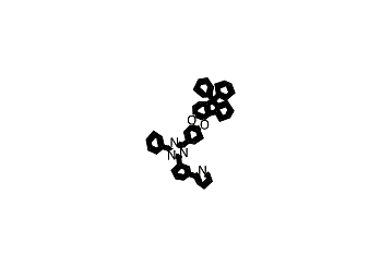 c1ccc(-c2nc(-c3cccc(-c4ccccn4)c3)nc(-c3ccc4c(c3)Oc3ccc5c(c3O4)-c3ccccc3C5(c3ccccc3)c3ccccc3)n2)cc1